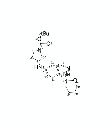 CC(C)(C)OC(=O)N1CCC(Nc2ccc3c(cnn3C3CCCCO3)c2)C1